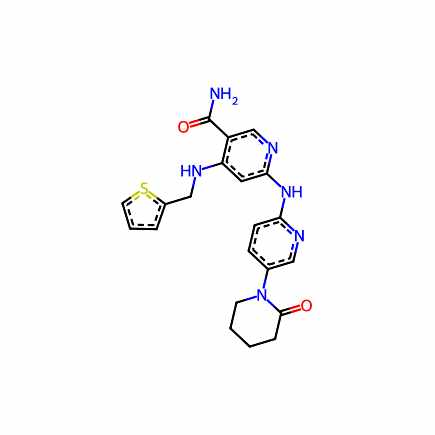 NC(=O)c1cnc(Nc2ccc(N3CCCCC3=O)cn2)cc1NCc1cccs1